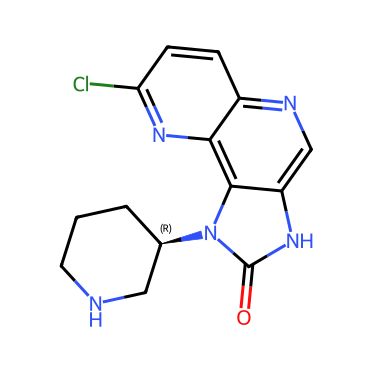 O=c1[nH]c2cnc3ccc(Cl)nc3c2n1[C@@H]1CCCNC1